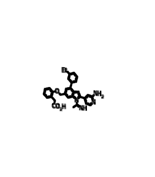 CCc1cccc(-c2cc(COc3ccccc3CC(=O)O)cc3c2cc(-c2ccnc(N)c2)n3C(C)=N)c1